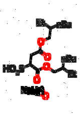 C1CO1.CCCCC(CC)COC(=O)CC(C(=O)OCC(CC)CCCC)S(=O)(=O)O.[NaH].[NaH]